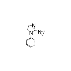 c1ccc(N2CCN=C2N2CC2)cc1